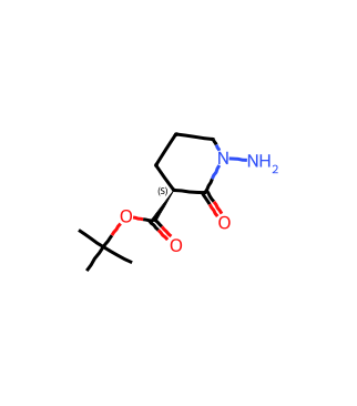 CC(C)(C)OC(=O)[C@H]1CCCN(N)C1=O